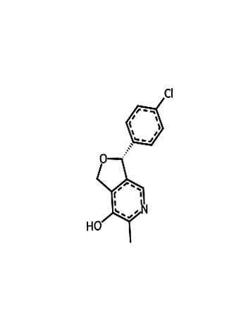 Cc1ncc2c(c1O)CO[C@@H]2c1ccc(Cl)cc1